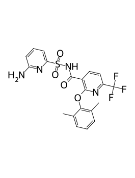 Cc1cccc(C)c1Oc1nc(C(F)(F)F)ccc1C(=O)NS(=O)(=O)c1cccc(N)n1